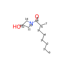 CCCCCCC(C)C(=O)N1CC(O)C1